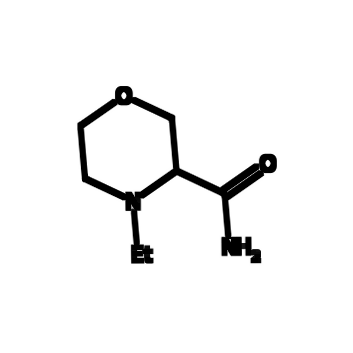 [CH2]CN1CCOCC1C(N)=O